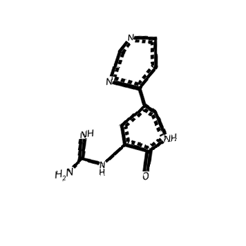 N=C(N)Nc1cc(-c2ccncn2)c[nH]c1=O